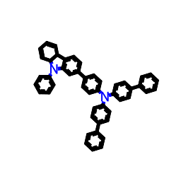 C1=CC2c3ccc(-c4ccc(N(c5ccc(-c6ccccc6)cc5)c5ccc(-c6ccccc6)cc5)cc4)cc3N(c3ccccc3)C2C=C1